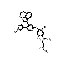 CCn1cc(-c2cnc(Nc3cc(N)c(N(C)CCN(C)C)cc3C)nc2-c2cn3c4c(cccc24)CCC3)cn1